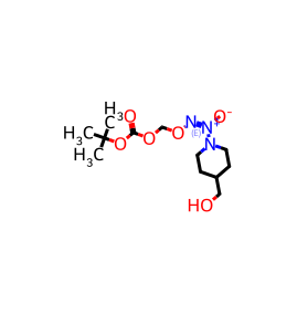 CC(C)(C)OC(=O)OCO/N=[N+](/[O-])N1CCC(CO)CC1